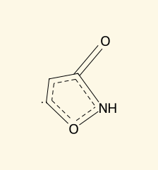 O=c1c[c]o[nH]1